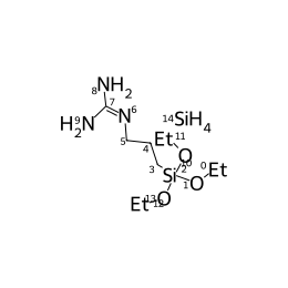 CCO[Si](CCCN=C(N)N)(OCC)OCC.[SiH4]